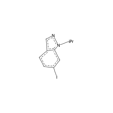 CC(C)n1ncc2ccc(I)cc21